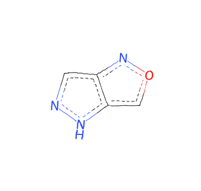 c1n[nH]c2conc12